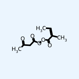 CC=C(C)C(=O)OOC(=O)CC(C)=O